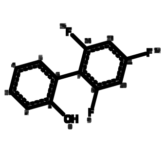 Oc1c[c]ccc1-c1c(F)cc(F)cc1F